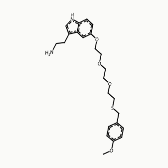 COc1ccc(CSCCOCCOCCOc2ccc3[nH]cc(CCN)c3c2)cc1